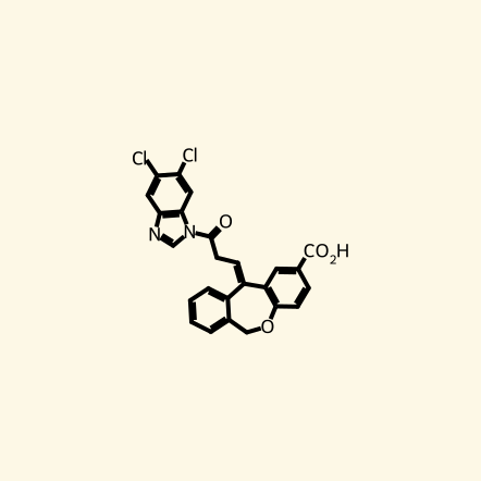 O=C(O)c1ccc2c(c1)/C(=C/CC(=O)n1cnc3cc(Cl)c(Cl)cc31)c1ccccc1CO2